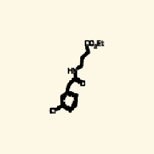 CCOC(=O)CCCNC(=O)Cc1cccc(Cl)c1